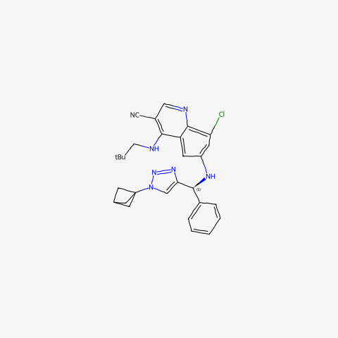 CC(C)(C)CNc1c(C#N)cnc2c(Cl)cc(N[C@@H](c3ccccc3)c3cn(C45CC(C4)C5)nn3)cc12